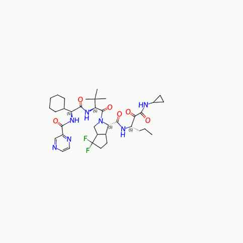 CCC[C@H](NC(=O)[C@@H]1C2CCC(F)(F)C2CN1C(=O)[C@@H](NC(=O)[C@@H](NC(=O)c1cnccn1)C1CCCCC1)C(C)(C)C)C(=O)C(=O)NC1CC1